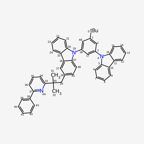 CC(C)(C)c1cc(-n2c3ccccc3c3ccccc32)cc(-n2c3ccccc3c3cc(CC(C)(C)c4cccc(-c5ccccc5)n4)ccc32)c1